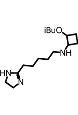 CC(C)COC1CCC1NCCCCCC1=NCCN1